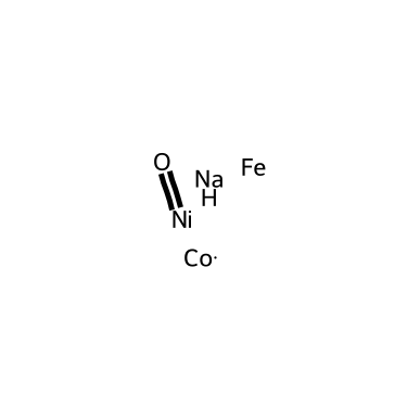 [Co].[Fe].[NaH].[O]=[Ni]